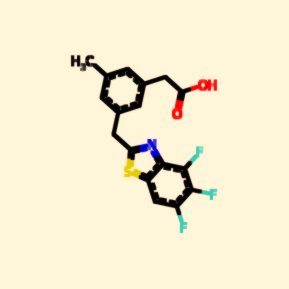 Cc1cc(CC(=O)O)cc(Cc2nc3c(F)c(F)c(F)cc3s2)c1